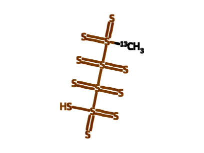 [13CH3]S(=S)(=S)S(=S)(=S)S(=S)(=S)S(=S)(=S)S